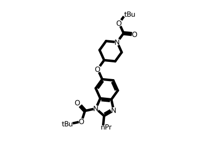 CCCc1nc2ccc(OC3CCN(C(=O)OC(C)(C)C)CC3)cc2n1C(=O)OC(C)(C)C